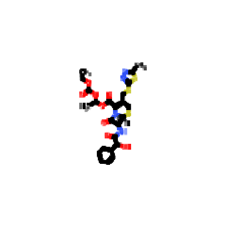 CCOC(=O)OC(C)OC(=O)C1=C(CSc2nnc(C)s2)CS[C@H]2C(NC(=O)C(O)c3ccccc3)C(=O)N12